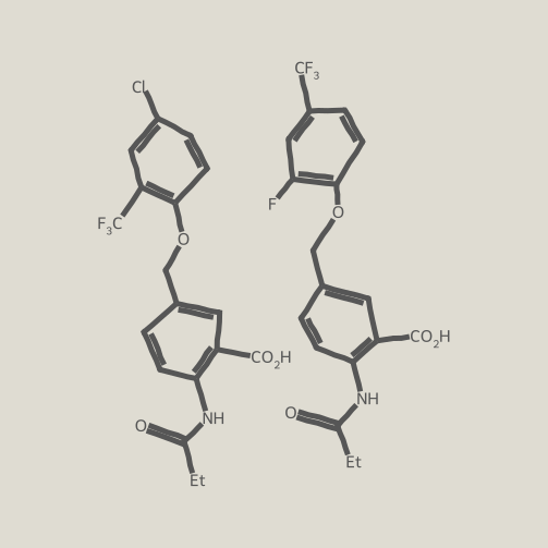 CCC(=O)Nc1ccc(COc2ccc(C(F)(F)F)cc2F)cc1C(=O)O.CCC(=O)Nc1ccc(COc2ccc(Cl)cc2C(F)(F)F)cc1C(=O)O